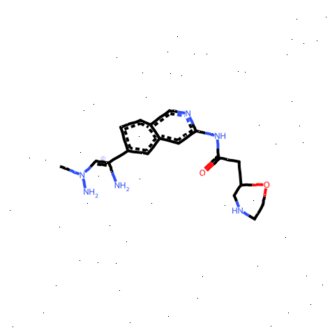 CN(N)/C=C(\N)c1ccc2cnc(NC(=O)CC3CNCCO3)cc2c1